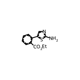 CCOC(=O)c1ccccc1-c1cnc(N)s1